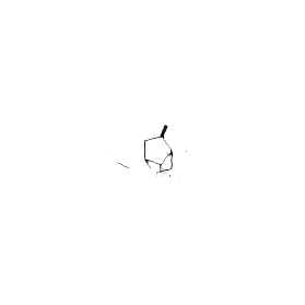 C=C1C[C@]2(CO)O[C@@H](C)[C@H]1[C@H]2O